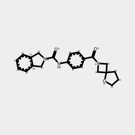 O=C(Nc1ccc(C(=O)N2CC3(CCCO3)C2)cc1)N1Cc2ccccc2C1